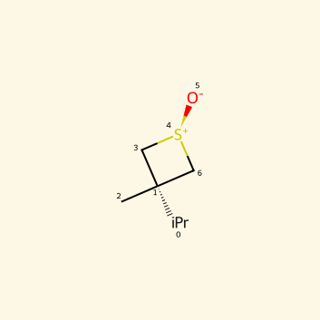 CC(C)[C@]1(C)C[S@@+]([O-])C1